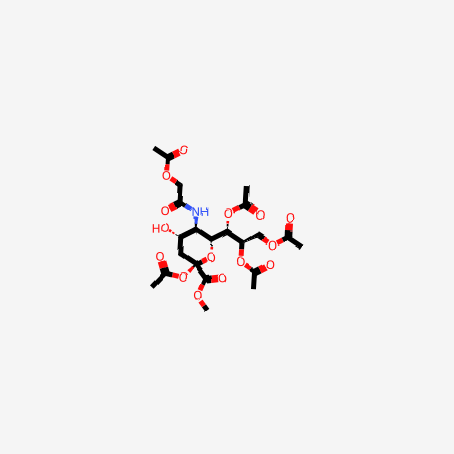 COC(=O)[C@]1(OC(C)=O)C[C@H](O)[C@@H](NC(=O)COC(C)=O)[C@H]([C@H](OC(C)=O)[C@@H](COC(C)=O)OC(C)=O)O1